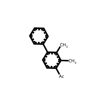 CC(=O)c1ccc(-c2ccccc2)c(C)c1C